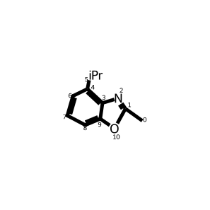 Cc1nc2c(C(C)C)cccc2o1